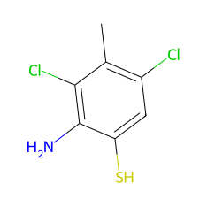 Cc1c(Cl)cc(S)c(N)c1Cl